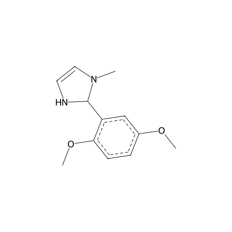 COc1ccc(OC)c(C2NC=CN2C)c1